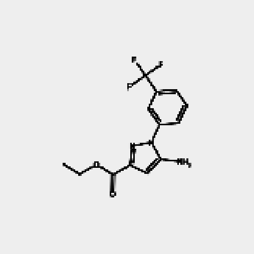 CCOC(=O)c1cc(N)n(-c2cccc(C(F)(F)F)c2)n1